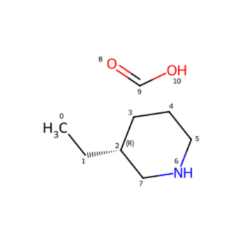 CC[C@@H]1CCCNC1.O=CO